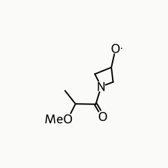 COC(C)C(=O)N1CC([O])C1